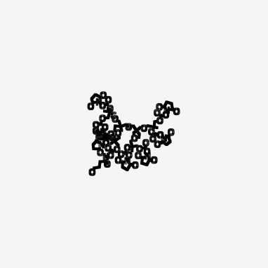 CCC(COCC(CC)(COCC(C)(COC(=O)ON1C(=O)CCC1=O)OC(=O)ON1C(=O)CCC1=O)COCC(C)(COC(=O)ON1C(=O)CCC1=O)OC(=O)ON1C(=O)CCC1=O)(COCC(C)(COC(=O)ON(C)C(=O)CCC=O)OC(=O)ON1C(=O)CCC1=O)COCC(C)(COC(=O)ON1C(=O)CCC1=O)OC(=O)ON1C(=O)CCC1=O